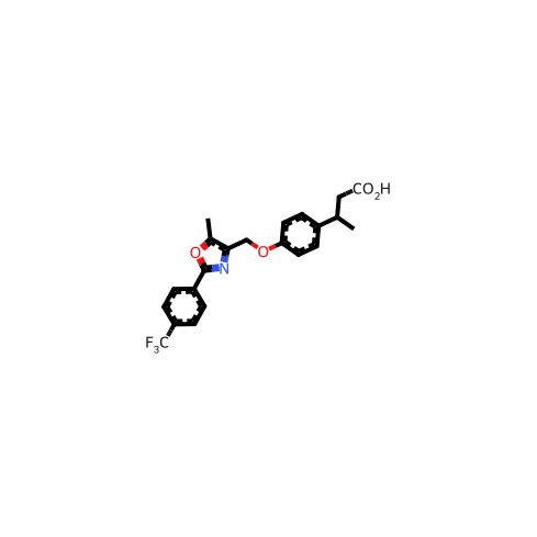 Cc1oc(-c2ccc(C(F)(F)F)cc2)nc1COc1ccc(C(C)CC(=O)O)cc1